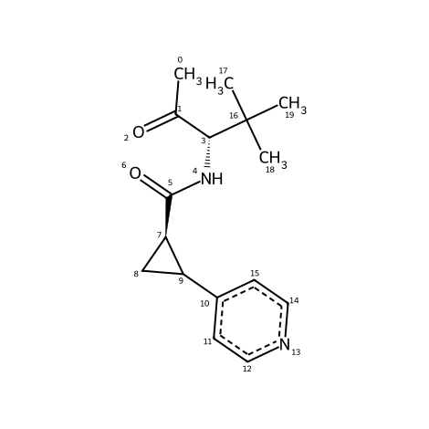 CC(=O)[C@@H](NC(=O)[C@@H]1CC1c1ccncc1)C(C)(C)C